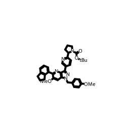 COc1ccc(Cn2nc(-c3ccc(C4CCCN4C(=O)OC(C)(C)C)nc3)c3nc(-c4cccc5c4CCC5)c(OC)cc32)cc1